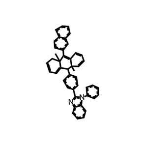 CC12CC=CC=C1C(c1ccc(-c3nc4ccccc4n3-c3ccccc3)cc1)C1(C)C=CC=CC1=C2c1ccc2ccccc2c1